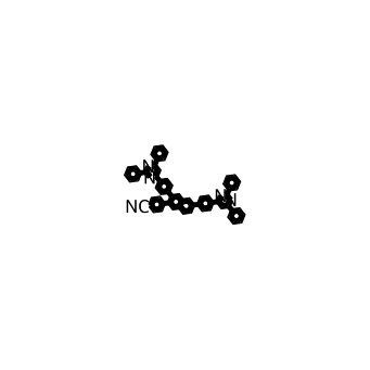 N#Cc1ccc(-c2cc3ccc(-c4ccc(-c5cc(-c6ccccc6)nc(-c6ccccc6)n5)cc4)cc3cc2-c2ccc(-c3cc(-c4ccccc4)nc(-c4ccccc4)n3)cc2)cc1